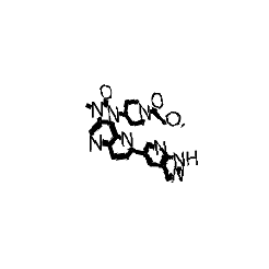 COCC(=O)N1CCC(n2c(=O)n(C)c3cnc4ccc(-c5cnc6[nH]ncc6c5)nc4c32)CC1